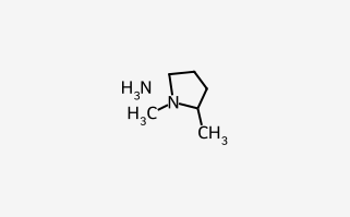 CC1CCCN1C.N